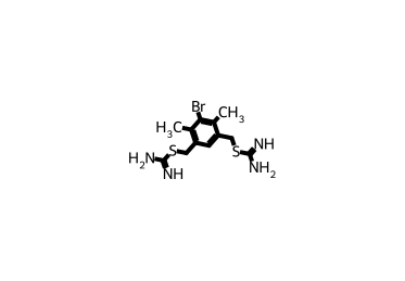 Cc1c(CSC(=N)N)cc(CSC(=N)N)c(C)c1Br